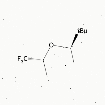 C[C@@H](O[C@H](C)C(F)(F)F)C(C)(C)C